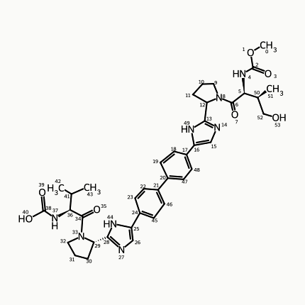 COC(=O)N[C@H](C(=O)N1CCCC1c1ncc(-c2ccc(-c3ccc(-c4cnc([C@@H]5CCCN5C(=O)[C@@H](NC(=O)O)C(C)C)[nH]4)cc3)cc2)[nH]1)[C@@H](C)CO